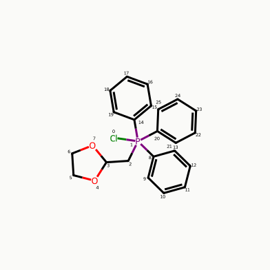 ClP(CC1OCCO1)(c1ccccc1)(c1ccccc1)c1ccccc1